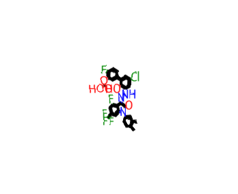 Cc1ccc(N2C(=O)C(=NNc3cc(Cl)cc(-c4ccc(F)c(OC(=O)O)c4)c3O)c3c(F)cc(C(F)(F)F)cc32)cc1C